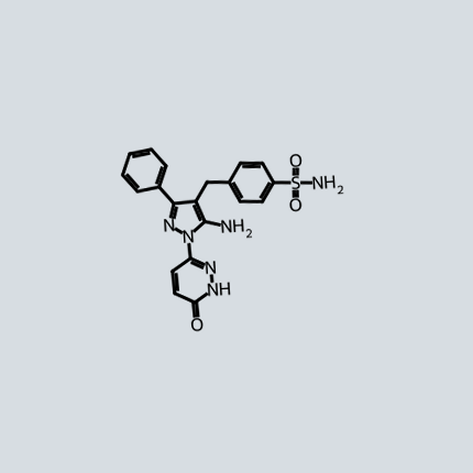 Nc1c(Cc2ccc(S(N)(=O)=O)cc2)c(-c2ccccc2)nn1-c1ccc(=O)[nH]n1